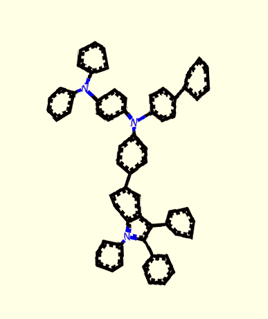 c1ccc(-c2ccc(N(c3ccc(-c4ccc5c(c4)c(-c4ccccc4)c(-c4ccccc4)n5-c4ccccc4)cc3)c3ccc(N(c4ccccc4)c4ccccc4)cc3)cc2)cc1